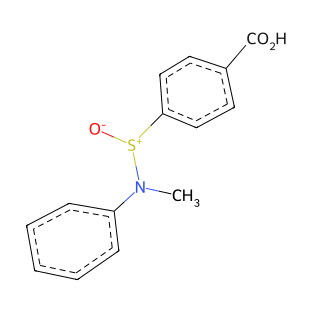 CN(c1ccccc1)[S+]([O-])c1ccc(C(=O)O)cc1